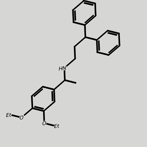 CCOc1ccc(C(C)NCCC(c2ccccc2)c2ccccc2)cc1OCC